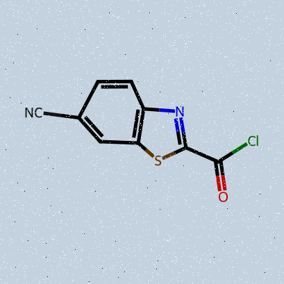 N#Cc1ccc2nc(C(=O)Cl)sc2c1